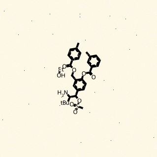 CCO.Cc1ccc(C(=O)OCc2cc(C(OS(C)(=O)=O)C(N)C(C)(C)C)ccc2OC(=O)c2cccc(C)c2)cc1